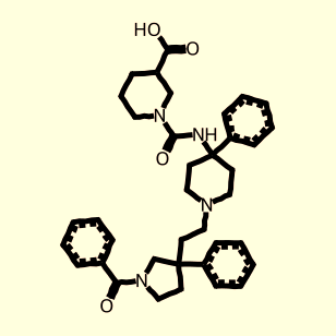 O=C(O)C1CCCN(C(=O)NC2(c3ccccc3)CCN(CCC3(c4ccccc4)CCN(C(=O)c4ccccc4)C3)CC2)C1